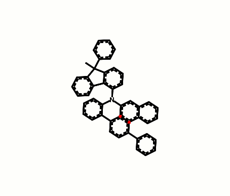 CC1(c2ccccc2)c2ccccc2-c2c(N(c3ccc4ccccc4c3)c3ccccc3-c3ccc(-c4ccccc4)cc3)cccc21